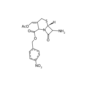 CC(=O)O/C=C1/CS[C@@H]2C(N)C(=O)N2C1C(=O)OCc1ccc([N+](=O)[O-])cc1